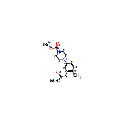 COC(=O)Cc1cc(N2CCN(C(=O)OC(C)(C)C)CC2)ccc1C